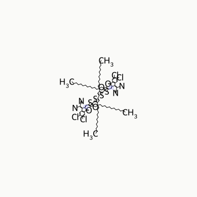 CCCCCCCCCCCCC1(CCCCCCCCCCCC)Oc2cc(/C=C3\C(=O)c4cc(Cl)c(Cl)cc4C3=C(C#N)C#N)sc2-c2sc(-c3cc4c(s3)-c3sc(/C=C5\C(=O)c6cc(Cl)c(Cl)cc6C5=C(C#N)C#N)cc3OC4(CCCCCCCCCCCC)CCCCCCCCCCCC)cc21